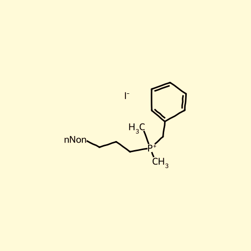 CCCCCCCCCCCC[P+](C)(C)Cc1ccccc1.[I-]